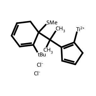 CSC1(C(C)(C)C2=[C]([Ti+2])CC=C2)CC=CC=C1C(C)(C)C.[Cl-].[Cl-]